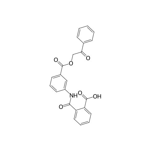 O=C(COC(=O)c1cccc(NC(=O)c2ccccc2C(=O)O)c1)c1ccccc1